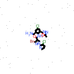 Cc1nnc(-c2cc(Cl)cc(CN)c2NC(=O)c2cn(-c3ncccc3Cl)nc2Br)o1